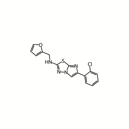 Clc1ccccc1-c1cn2nc(NCc3ccco3)sc2n1